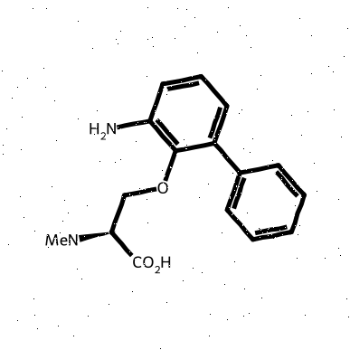 CN[C@@H](COc1c(N)cccc1-c1ccccc1)C(=O)O